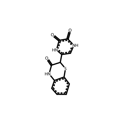 O=C1Nc2ccccc2SC1c1c[nH]c(=O)c(=O)[nH]1